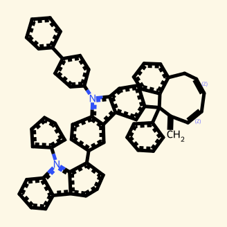 C=C1/C=C\C=C/Cc2ccccc2C1(c1ccccc1)c1ccc2c(c1)c1cc(-c3cccc4c5ccccc5n(-c5ccccc5)c34)ccc1n2-c1ccc(-c2ccccc2)cc1